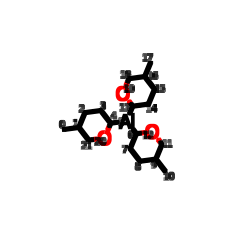 CC1CC[CH]([Al]([CH]2CCC(C)CO2)[CH]2CCC(C)CO2)OC1